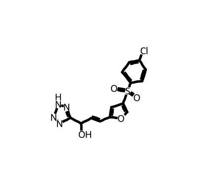 O=S(=O)(c1ccc(Cl)cc1)c1coc(C=CC(O)c2nn[nH]n2)c1